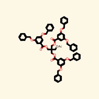 CC(=O)OCC(COC(=O)c1cc(OCc2ccccc2)cc(OCc2ccccc2)c1)(COC(=O)c1cc(OCc2ccccc2)cc(OCc2ccccc2)c1)COC(=O)c1cc(OCc2ccccc2)cc(OCc2ccccc2)c1